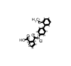 COc1ccccc1-c1ccc(N(Cl)C(=O)c2ccsc2C(=O)O)cc1